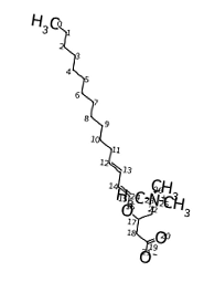 CCCCCCCCCCCCC=CC=COC(CC(=O)[O-])C[N+](C)(C)C